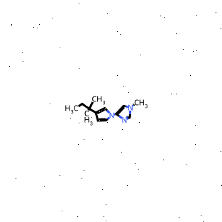 CCC(C)(C)c1ccn(-c2cn(C)cn2)c1